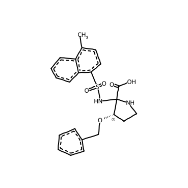 Cc1ccc(S(=O)(=O)NC2(C(=O)O)NCC[C@@H]2OCc2ccccc2)c2ccccc12